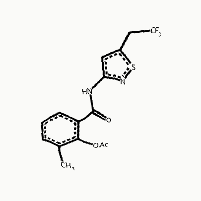 CC(=O)Oc1c(C)cccc1C(=O)Nc1cc(CC(F)(F)F)sn1